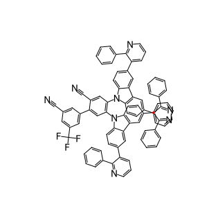 N#Cc1cc(-c2cc(-n3c4ccc(-c5cccnc5-c5ccccc5)cc4c4cc(-c5cccnc5-c5ccccc5)ccc43)c(-n3c4ccc(-c5cccnc5-c5ccccc5)cc4c4cc(-c5cccnc5-c5ccccc5)ccc43)cc2C#N)cc(C(F)(F)F)c1